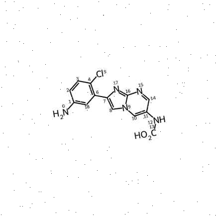 Nc1ccc(Cl)c(-c2cn3cc(NC(=O)O)cnc3n2)c1